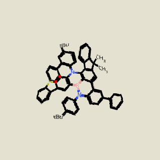 CC(C)(C)c1ccc(N2B3c4cc5c(cc4N(c4ccc(C(C)(C)C)cc4-c4ccccc4)c4c3c(cc3c4-c4ccccc4C3(C)C)-c3cc(-c4ccccc4)ccc32)sc2ccccc25)cc1